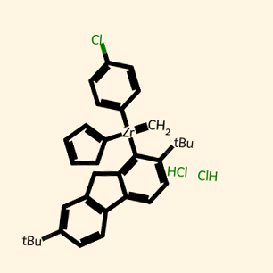 Cl.Cl.[CH2]=[Zr]([C]1=CC=CC1)([c]1ccc(Cl)cc1)[c]1c(C(C)(C)C)ccc2c1Cc1cc(C(C)(C)C)ccc1-2